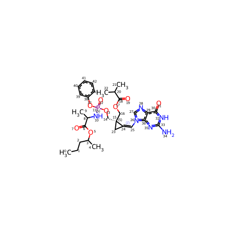 CCCC(C)OC(=O)C(C)N[P@](=O)(OC[C@@]1(COC(=O)C(C)C)C/C1=C/n1cnc2c(=O)[nH]c(N)nc21)Oc1ccccc1